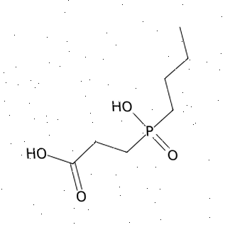 CCCCP(=O)(O)CCC(=O)O